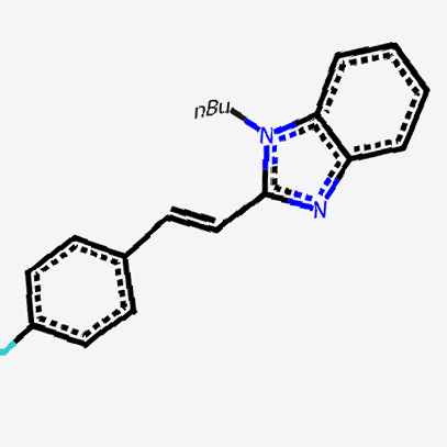 CCCCn1c(/C=C/c2ccc(F)cc2)nc2ccccc21